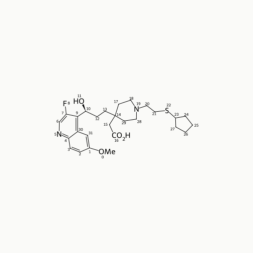 COc1ccc2ncc(F)c([C@@H](O)CCC3(CC(=O)O)CCN(CCSC4CCCC4)CC3)c2c1